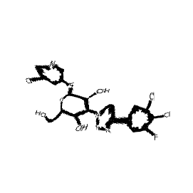 OCC1OC(Sc2cncc(Cl)c2)[C@@H](O)C(n2cc(-c3cc(F)c(Cl)c(Cl)c3)nn2)C1O